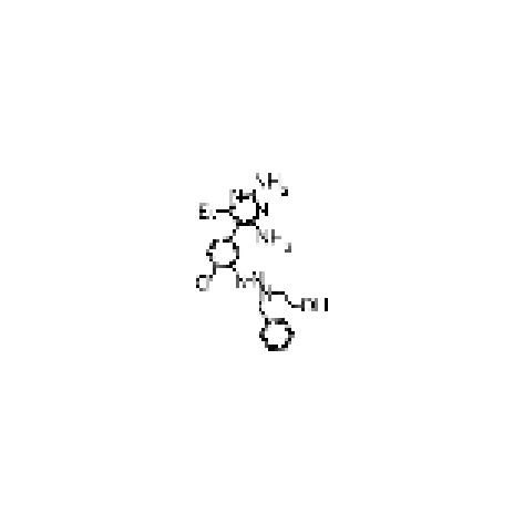 CCc1nc(N)nc(N)c1-c1ccc(Cl)c(N=NN(CCO)Cc2ccccc2)c1